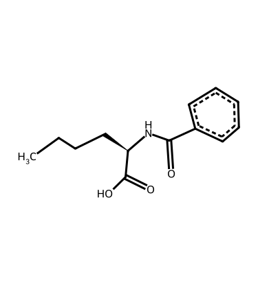 CCCC[C@@H](NC(=O)c1ccccc1)C(=O)O